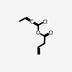 C=CCC(=O)OC(Cl)=C=CC